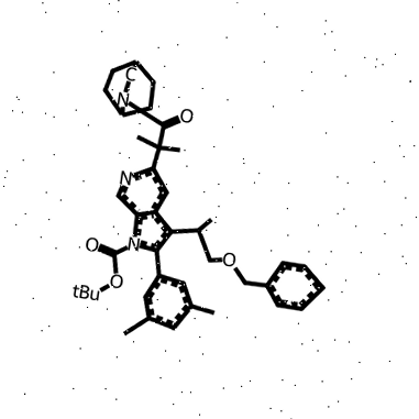 Cc1cc(C)cc(-c2c(C(C)COCc3ccccc3)c3cc(C(C)(C)C(=O)N4CC5CCC4CC5)ncc3n2C(=O)OC(C)(C)C)c1